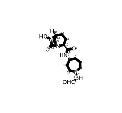 O=CBN1CCC[C@@H](NC(=O)[C@@H]2CC[C@@H]3CN2C(=O)N3O)CC1